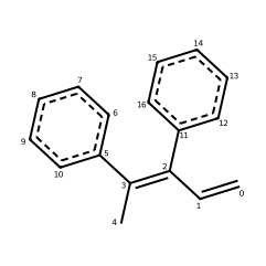 C=CC(=C(C)c1ccccc1)c1ccccc1